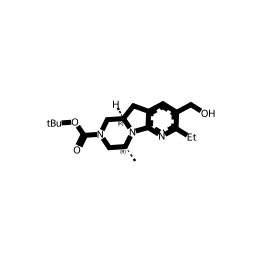 CCc1nc2c(cc1CO)C[C@@H]1CN(C(=O)OC(C)(C)C)C[C@@H](C)N21